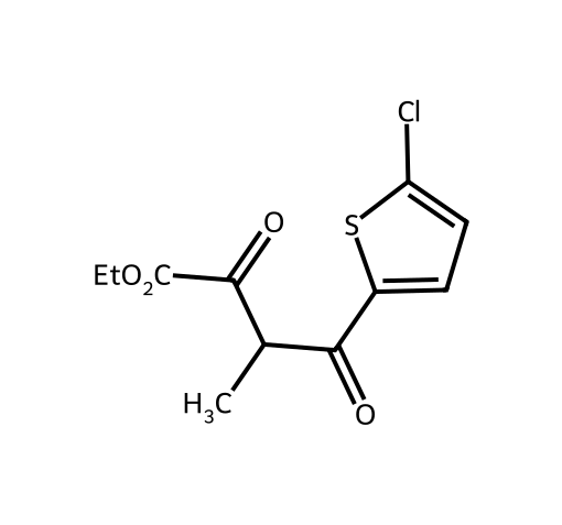 CCOC(=O)C(=O)C(C)C(=O)c1ccc(Cl)s1